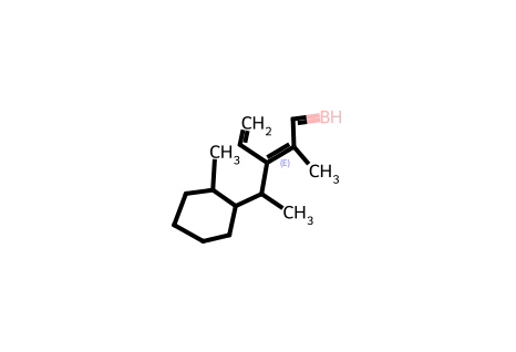 B=C/C(C)=C(\C=C)C(C)C1CCCCC1C